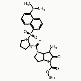 CC1C(=O)N(C(=O)OC(C)(C)C)C2CCN(C(=O)[C@@H]3CCCN3S(=O)(=O)c3cccc4c(N(C)C)cccc34)C12